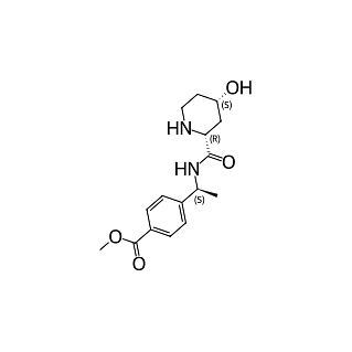 COC(=O)c1ccc([C@H](C)NC(=O)[C@H]2C[C@@H](O)CCN2)cc1